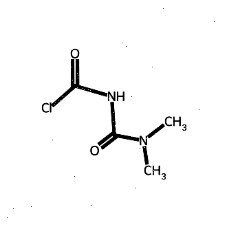 CN(C)C(=O)NC(=O)Cl